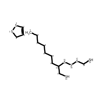 C1=CSSC1.CCCCCCCC(CS)SSSCS